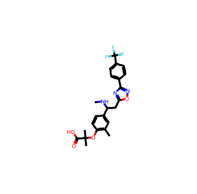 CNC(Cc1nc(-c2ccc(C(F)(F)F)cc2)no1)c1ccc(OC(C)(C)C(=O)O)c(C)c1